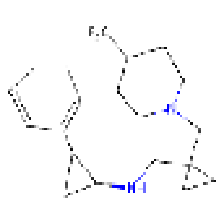 FC(F)(F)C1CCN(CC2(CN[C@H]3CC3c3ccccc3)CC2)CC1